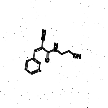 N#CC(=Cc1c[c]ccc1)C(=O)NCCO